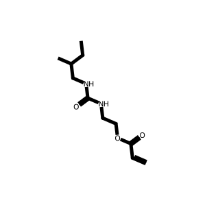 C=CC(=O)OCCNC(=O)NCC(C)CC